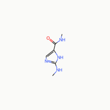 CNC(=O)c1cnc(NC)[nH]1